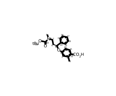 Cc1cc(O[C@@H](CCN(C)C(=O)OC(C)(C)C)c2ccccc2)ccc1C(=O)O